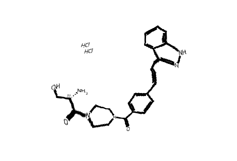 Cl.Cl.N[C@@H](CO)C(=O)N1CCN(C(=O)c2ccc(C=Cc3n[nH]c4ccccc34)cc2)CC1